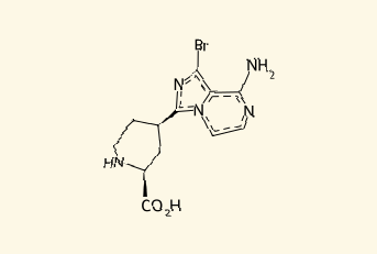 Nc1nccn2c([C@@H]3CCN[C@H](C(=O)O)C3)nc(Br)c12